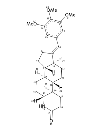 COc1cc(/C=C2\CC[C@H]3[C@@H]4CC[C@H]5NC(=O)CC[C@]5(C)[C@H]4CC[C@]23C)cc(OC)c1OC